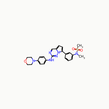 CN(c1cccc(-c2ccc3cnc(Nc4ccc(N5CCOCC5)cc4)nn23)c1)S(C)(=O)=O